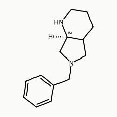 c1ccc(CN2CC3CCCN[C@@H]3C2)cc1